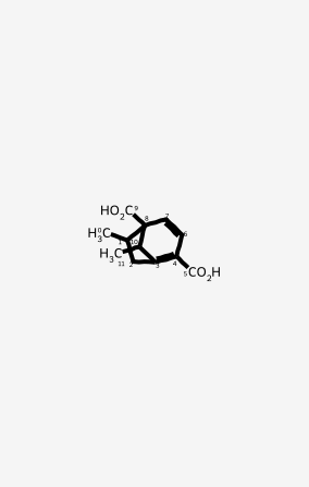 CC1CC2=C(C(=O)O)C=CC1(C(=O)O)C2C